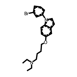 CCN(CC)CCCCOc1ccc2c(ccn2-c2cccc(Br)c2)c1